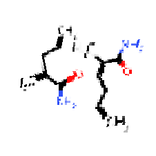 C=CCC(=C)C(N)=O.C=CCC=C(C)C(N)=O